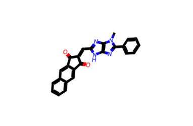 Cn1c(-c2ccccc2)nc2[nH]c(C=C3C(=O)c4cc5ccccc5cc4C3=O)nc21